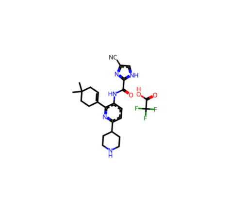 CC1(C)CC=C(c2nc(C3CCNCC3)ccc2NC(=O)c2nc(C#N)c[nH]2)CC1.O=C(O)C(F)(F)F